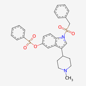 CN1CCC(c2cn(S(=O)(=O)Cc3ccccc3)c3ccc(OS(=O)(=O)c4ccccc4)cc23)CC1